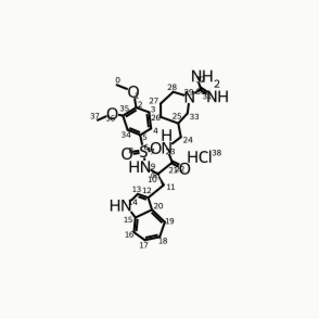 COc1ccc(S(=O)(=O)N[C@H](Cc2c[nH]c3ccccc23)C(=O)NCC2CCCN(C(=N)N)C2)cc1OC.Cl